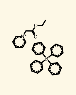 CCOC(=O)C[n+]1ccccc1.c1ccc([B-](c2ccccc2)(c2ccccc2)c2ccccc2)cc1